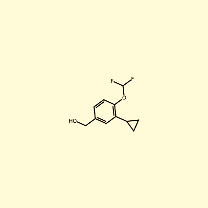 OCc1ccc(OC(F)F)c(C2CC2)c1